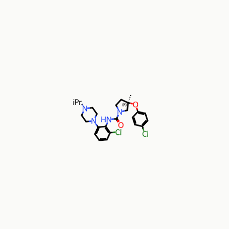 CC(C)N1CCN(c2cccc(Cl)c2NC(=O)N2CC[C@@](C)(Oc3ccc(Cl)cc3)C2)CC1